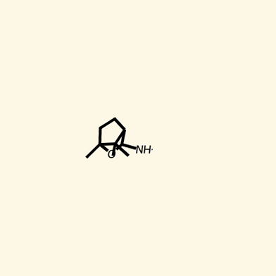 CC12CCC(C([NH])O1)C2(C)C